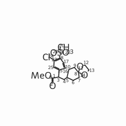 COC(=O)C(CC1CCC2(CC1)OCCO2)c1ccc(S(C)(=O)=O)c(Cl)c1